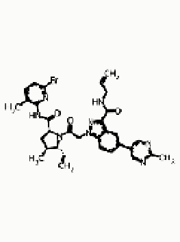 C=CCNC(=O)c1nn(CC(=O)N2[C@H](C=C)[C@@H](C)C[C@H]2C(=O)Nc2nc(Br)ccc2C)c2ccc(-c3cnc(C)nc3)cc12